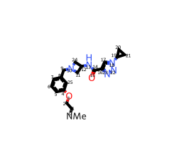 CNCCOc1cccc(CN2CC(NC(=O)c3cn(C4CC4)nn3)C2)c1